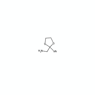 CCCC1(CN)OCCO1